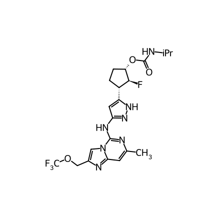 Cc1cc2nc(COC(F)(F)F)cn2c(Nc2cc([C@@H]3CC[C@H](OC(=O)NC(C)C)[C@H]3F)[nH]n2)n1